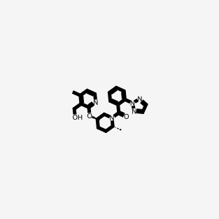 Cc1ccnc(O[C@@H]2CC[C@@H](C)N(C(=O)c3ccccc3-n3nccn3)C2)c1CO